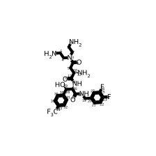 NCCN(CCN)C(=O)C[C@H](N)C(=O)N[C@H](C(=O)NCc1ccc(F)c(F)c1)[C@H](O)c1ccc(C(F)(F)F)cc1